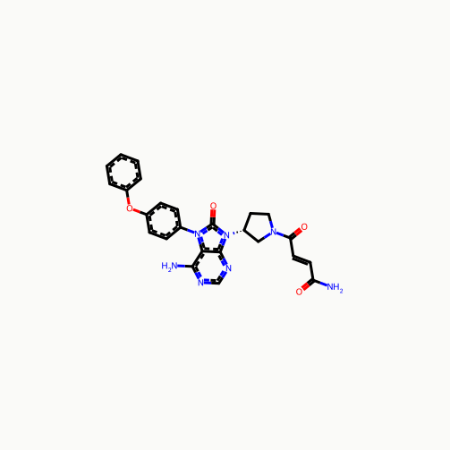 NC(=O)C=CC(=O)N1CC[C@@H](n2c(=O)n(-c3ccc(Oc4ccccc4)cc3)c3c(N)ncnc32)C1